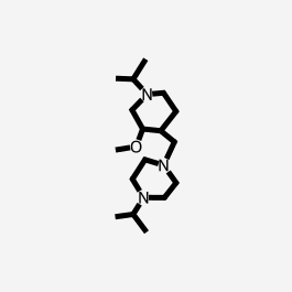 COC1CN(C(C)C)CCC1CN1CCN(C(C)C)CC1